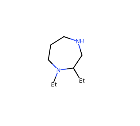 CCC1CNCCCN1CC